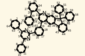 c1ccc(-c2cc(-c3ccccc3)nc(-c3cccc(-c4cc(-c5ccccc5-c5ccccc5)nc5cc6c(cc45)-c4ccccc4C6(c4ccccc4)c4ccccc4)c3)n2)cc1